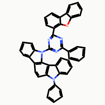 c1ccc(-c2nc(-c3cccc4c3oc3ccccc34)nc(-n3c4ccccc4c4ccc5c(c6ccccc6n5-c5ccccc5)c43)n2)cc1